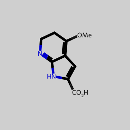 COC1=c2cc(C(=O)O)[nH]c2=NCC1